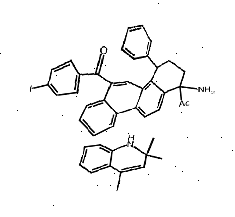 CC(=O)C1(N)CCC(c2ccccc2)c2c1ccc1c2cc(C(=O)c2ccc(I)cc2)c2ccccc21.CC1=CC(C)(C)Nc2ccccc21